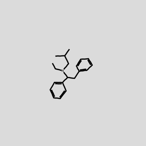 CCN(CC(C)C)C(Cc1ccccc1)c1ccccc1